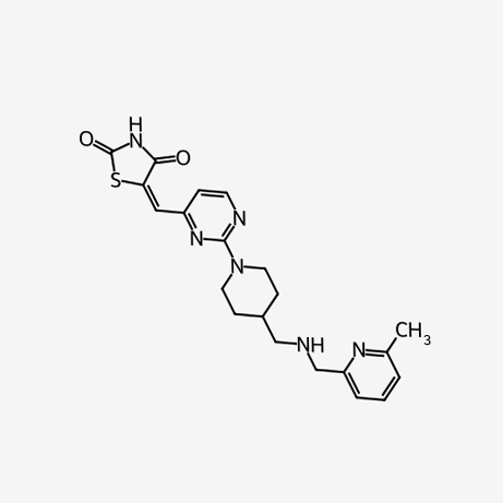 Cc1cccc(CNCC2CCN(c3nccc(C=C4SC(=O)NC4=O)n3)CC2)n1